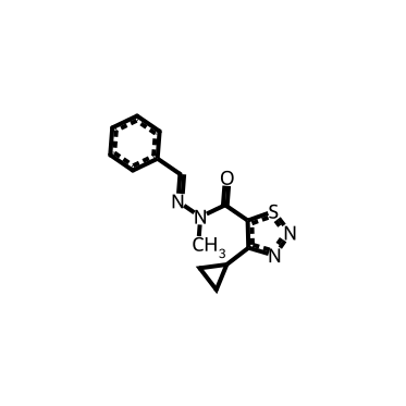 CN(N=Cc1ccccc1)C(=O)c1snnc1C1CC1